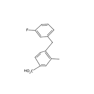 Cc1cc(C(=O)O)ccc1Cc1cccc(F)c1